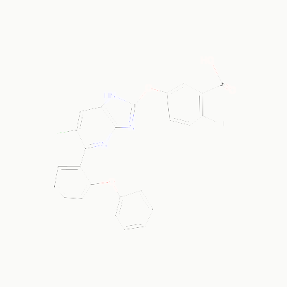 Cc1ccc(Oc2nc3nc(-c4ccccc4Oc4ccccc4)c(Cl)cc3[nH]2)cc1C(=O)O